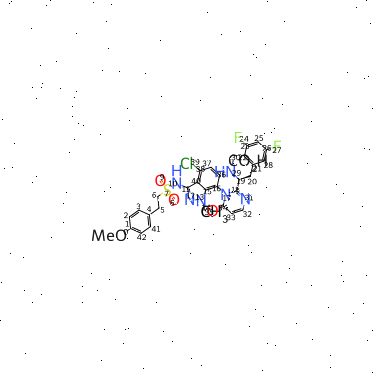 COc1ccc(CCS(=O)(=O)Nc2nn(C)c3c(-n4c([C@H](Cc5cc(F)cc(F)c5)NC(=O)O)nccc4=O)ccc(Cl)c23)cc1